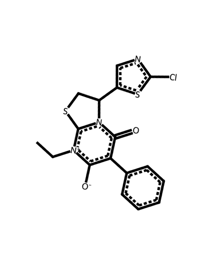 CC[n+]1c([O-])c(-c2ccccc2)c(=O)n2c1SCC2c1cnc(Cl)s1